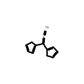 C=C=C(C1=CC=CC1)C1=CC=CC1.[Ta]